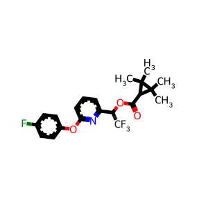 CC1(C)C(C(=O)OC(c2cccc(Oc3ccc(F)cc3)n2)C(F)(F)F)C1(C)C